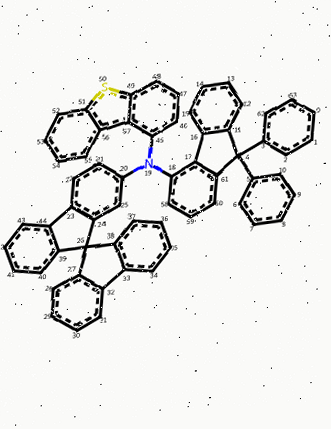 c1ccc(C2(c3ccccc3)c3ccccc3-c3c(N(c4ccc5c(c4)C4(c6ccccc6-c6ccccc64)c4ccccc4-5)c4cccc5sc6ccccc6c45)cccc32)cc1